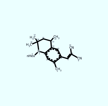 CCCCCCN1c2cc(C)c(C=C(C#N)C#N)cc2C(C)CC1(C)C